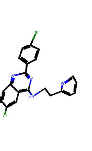 Clc1ccc2nc(-c3ccc(Br)cc3)nc(NCCc3ccccn3)c2c1